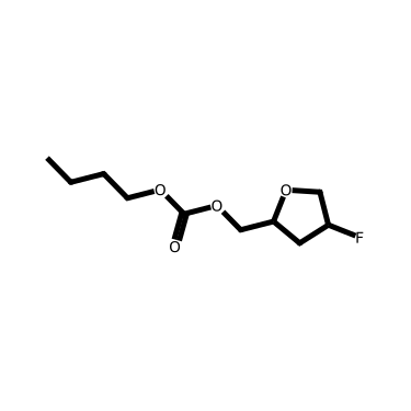 CCCCOC(=O)OCC1CC(F)CO1